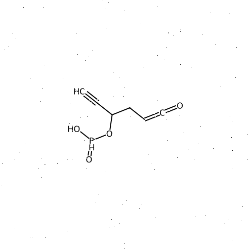 C#CC(CC=C=O)O[PH](=O)O